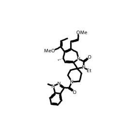 C/C=C(/OC)C1=C(/C=C/OC)CN2C(=O)N(CC)C3(CCN(C(=O)c4nn(C)c5ccccc45)CC3)C2=C[C@@H]1C